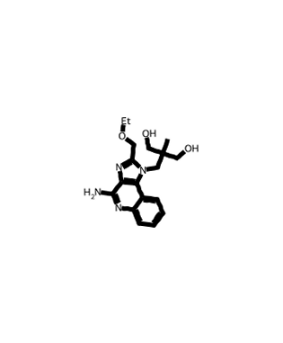 CCOCc1nc2c(N)nc3ccccc3c2n1CC(C)(CO)CO